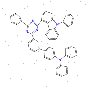 c1ccc(-c2nc(-c3cccc(-c4ccc(N(c5ccccc5)c5ccccc5)cc4)c3)nc(-c3cccc4c3c3ccccc3n4-c3ccccc3)n2)cc1